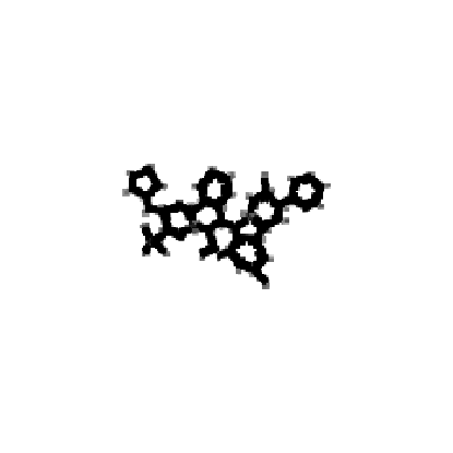 C=CC1C(C2c3c(C)cc(C)cc3-c3cc(-c4ccccc4)c(C)c[n+]32)c2ccccc2-c2cc(CC3CCCC3)c([Si](C)(C)C)c[n+]21